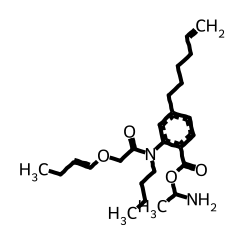 C=CCCCCc1ccc(C(=O)OC(C)N)c(N(CCCC)C(=O)COC=CCC)c1